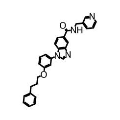 O=C(NCc1cccnc1)c1ccc2c(c1)ncn2-c1cccc(OCCCc2ccccc2)c1